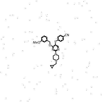 COc1cccc(COc2nc(N3CCN(CC4CC4)CC3)ncc2Sc2ccc(C#N)cc2)c1